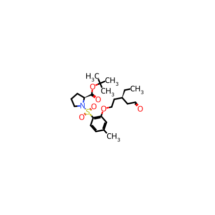 CC[C@@H](CC=O)CCOc1cc(C)ccc1S(=O)(=O)N1CCC[C@H]1C(=O)OC(C)(C)C